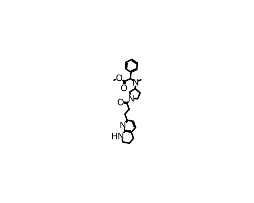 COC(=O)C(c1ccccc1)N(C)C1CCN(C(=O)CCc2ccc3c(n2)NCCC3)C1